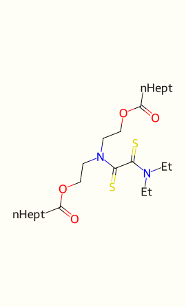 CCCCCCCC(=O)OCCN(CCOC(=O)CCCCCCC)C(=S)C(=S)N(CC)CC